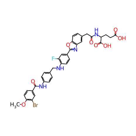 COc1ccc(C(=O)Nc2ccc(CNc3ccc(-c4nc5cc(CC(=O)NC(CCC(=O)O)C(=O)O)ccc5o4)cc3F)cc2)cc1Br